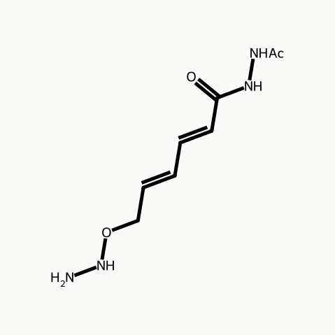 CC(=O)NNC(=O)/C=C/C=C/CONN